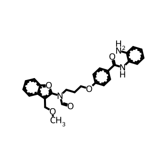 COCc1c(N(C=O)CCCOc2ccc(C(=O)Nc3ccccc3N)cc2)oc2ccccc12